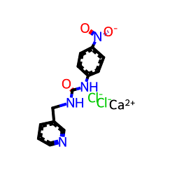 O=C(NCc1cccnc1)Nc1ccc([N+](=O)[O-])cc1.[Ca+2].[Cl-].[Cl-]